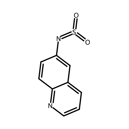 O=S(=O)=Nc1ccc2ncccc2c1